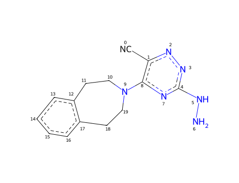 N#Cc1nnc(NN)nc1N1CCc2ccccc2CC1